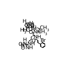 CC(C)C[C@H](NC(=O)[C@H](CCCNC(=N)N[N+](=O)[O-])NC(=O)/C=C/c1ccccc1Br)B1O[C@@H]2C[C@@H]3C[C@@H](C3(C)C)[C@]2(C)O1